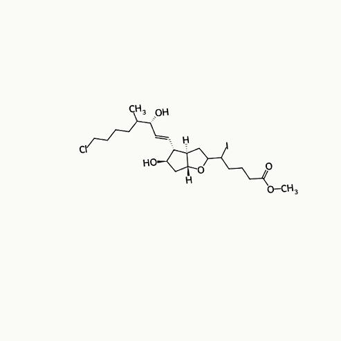 COC(=O)CCCC(I)C1C[C@@H]2[C@@H](/C=C/[C@@H](O)C(C)CCCCCl)[C@H](O)C[C@H]2O1